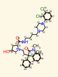 CN(C)C(=O)C(CCN1C[C@H](O)C[C@H]1C(=O)NCCCCN1CCN(c2cccc(Cl)c2Cl)CC1)(c1ccccc1)c1ccccc1